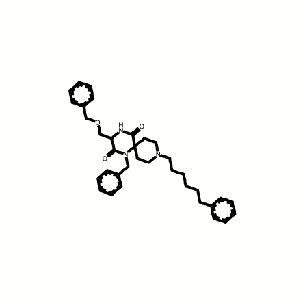 O=C1C(COCc2ccccc2)NC(=O)C2(CCN(CCCCCCc3ccccc3)CC2)N1Cc1ccccc1